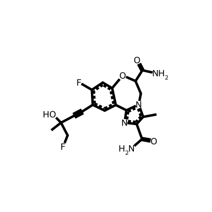 Cc1c(C(N)=O)nc2n1CC(C(N)=O)Oc1cc(F)c(C#CC(C)(O)CF)cc1-2